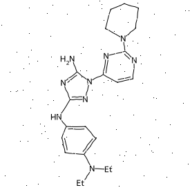 CCN(CC)c1ccc(Nc2nc(N)n(-c3ccnc(N4CCCCC4)n3)n2)cc1